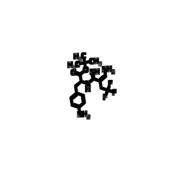 CC(C)(C)OC(=O)[C@H](Cc1ccc(N)cc1)NC(=N)/C(=C\N)CC(F)(F)F